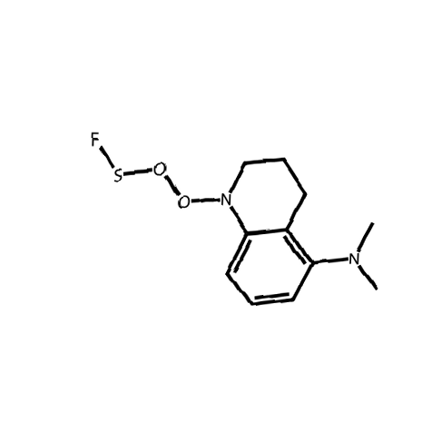 CN(C)c1cccc2c1CCCN2OOSF